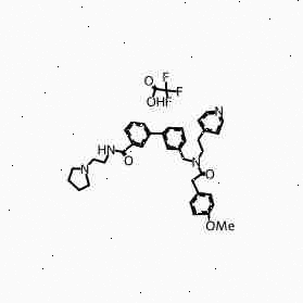 COc1ccc(CC(=O)N(CCc2ccncc2)Cc2cccc(-c3cccc(C(=O)NCCN4CCCC4)c3)c2)cc1.O=C(O)C(F)(F)F